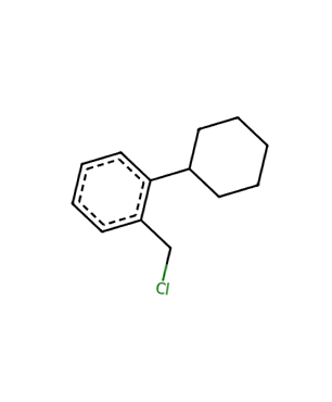 ClCc1ccccc1C1CCCCC1